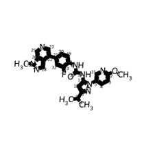 COc1ccc(-n2nc(C(C)C)cc2NC(=O)Nc2ccc(-c3cncc4c3cnn4C)cc2F)cn1